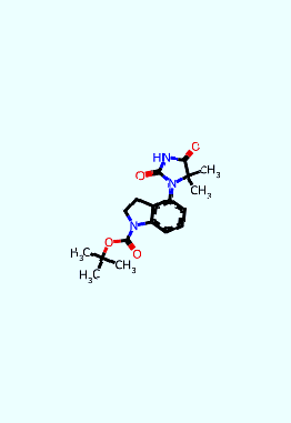 CC(C)(C)OC(=O)N1CCc2c1cccc2N1C(=O)NC(=O)C1(C)C